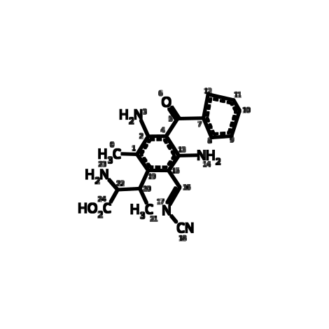 Cc1c(N)c(C(=O)c2ccccc2)c(N)c(C=NC#N)c1C(C)C(N)C(=O)O